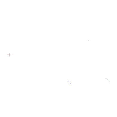 Oc1ccc(-c2ncc(Br)c3c2CC2(CCCC2)C3)c2ccccc12